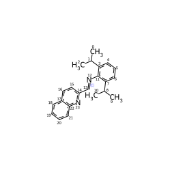 CC(C)c1cccc(C(C)C)c1/N=C/c1ccc2ccccc2n1